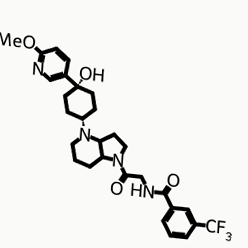 COc1ccc([C@]2(O)CC[C@@H](N3CCCC4C3CCN4C(=O)CNC(=O)c3cccc(C(F)(F)F)c3)CC2)cn1